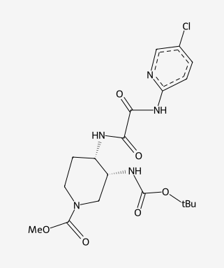 COC(=O)N1CC[C@H](NC(=O)C(=O)Nc2ccc(Cl)cn2)[C@H](NC(=O)OC(C)(C)C)C1